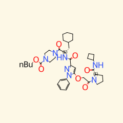 CCCCOC(=O)N1CCN(C(=O)[C@H](CC2CCCCC2)NC(=O)c2cc(OCC(=O)N3CCC[C@H]3C(=O)NC3CCC3)n(-c3ccccc3)n2)CC1